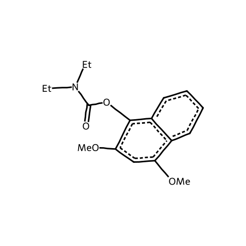 CCN(CC)C(=O)Oc1c(OC)cc(OC)c2ccccc12